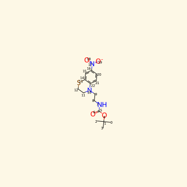 CC(C)(C)OC(=O)NCCN1CCSc2cc([N+](=O)[O-])ccc21